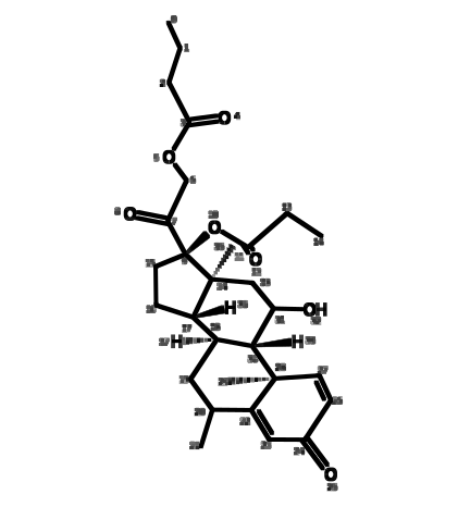 CCCC(=O)OCC(=O)[C@@]1(OC(=O)CC)CC[C@H]2[C@@H]3CC(C)C4=CC(=O)C=C[C@]4(C)[C@H]3C(O)C[C@@]21C